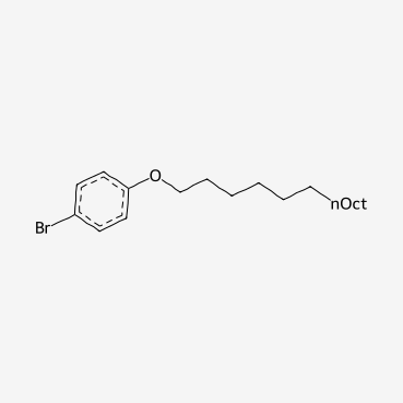 CCCCCCCCCCCCCCOc1ccc(Br)cc1